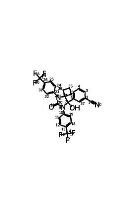 N#Cc1cccc(C2(O)N(c3ccc(C(F)(F)F)cc3)C(=O)N(c3ccc(C(F)(F)F)cc3)C23CCC3)c1